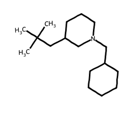 CC(C)(C)CC1CCCN(CC2CCCCC2)C1